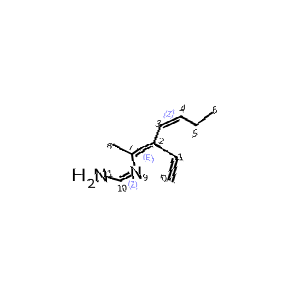 C=CC(/C=C\CC)=C(C)\N=C/N